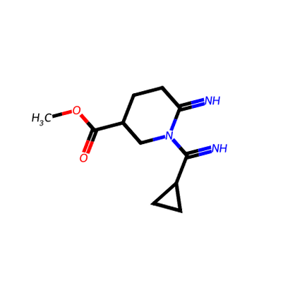 COC(=O)C1CCC(=N)N(C(=N)C2CC2)C1